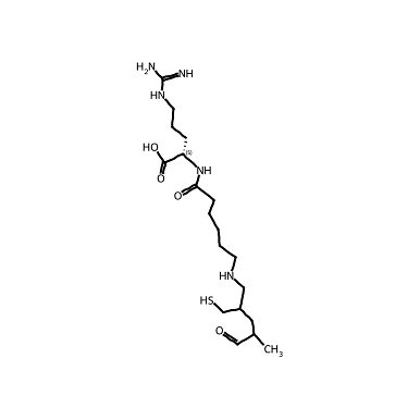 CC(C=O)CC(CS)CNCCCCCC(=O)N[C@@H](CCCNC(=N)N)C(=O)O